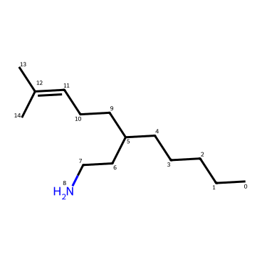 CCCCCC(CCN)CCC=C(C)C